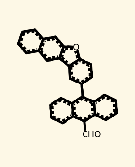 O=Cc1c2ccccc2c(-c2ccc3oc4cc5ccccc5cc4c3c2)c2ccccc12